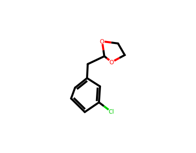 Clc1cccc(CC2OCCO2)c1